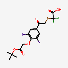 CC(C)(C)OC(=O)COc1c(I)cc(C(=O)CSC(F)(F)C(=O)O)cc1I